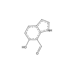 O=Cc1c(O)ccc2cc[nH]c12